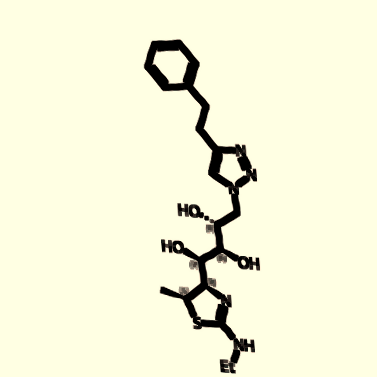 CCNC1=N[C@H]([C@@H](O)[C@H](O)[C@H](O)Cn2cc(CCc3ccccc3)nn2)[C@H](C)S1